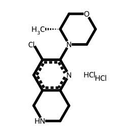 C[C@@H]1COCCN1c1nc2c(cc1Cl)CNCC2.Cl.Cl